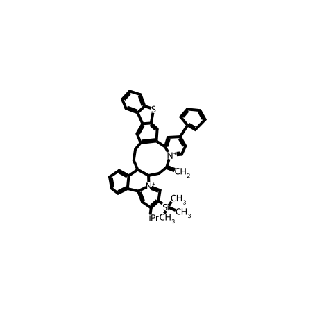 C=C1CC2C(CCc3cc4c(cc3-c3cc(-c5ccccc5)cc[n+]31)sc1ccccc14)c1ccccc1-c1cc(C(C)C)c([Si](C)(C)C)c[n+]12